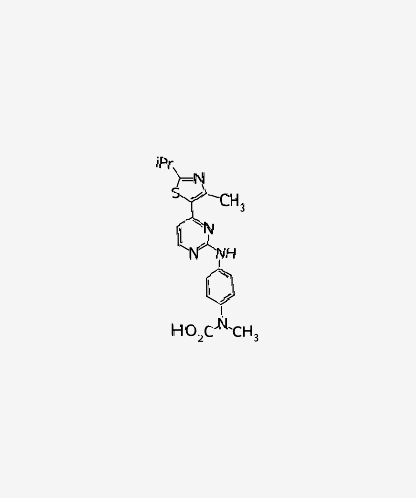 Cc1nc(C(C)C)sc1-c1ccnc(Nc2ccc(N(C)C(=O)O)cc2)n1